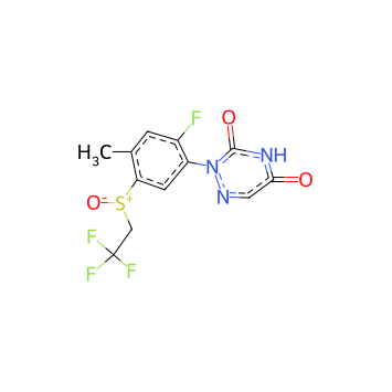 Cc1cc(F)c(-n2ncc(=O)[nH]c2=O)cc1[S+]([O-])CC(F)(F)F